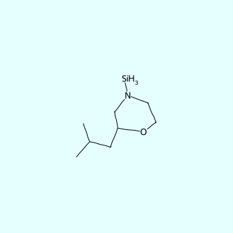 CC(C)CC1CN([SiH3])CCO1